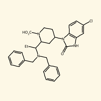 CCC(C1CC(n2c(=O)[nH]c3cc(Cl)ccc32)CCN1C(=O)O)N(Cc1ccccc1)Cc1ccccc1